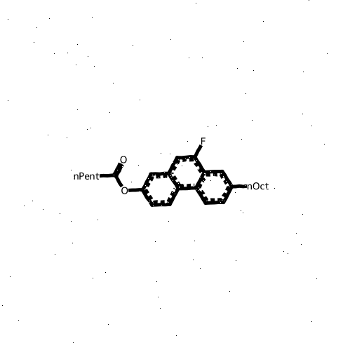 CCCCCCCCc1ccc2c(c1)c(F)cc1cc(OC(=O)CCCCC)ccc12